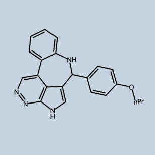 CCCOc1ccc(C2Nc3ccccc3-c3cnnc4[nH]cc2c34)cc1